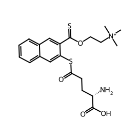 C[N+](C)(C)CCOC(=S)c1cc2ccccc2cc1SC(=O)CC[C@H](N)C(=O)O